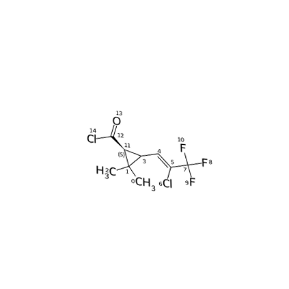 CC1(C)C(C=C(Cl)C(F)(F)F)[C@@H]1C(=O)Cl